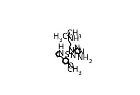 COc1ccc(-c2ccc[nH]2)c(Sc2nc3c(N)ncnc3n2CCCNC(C)C)c1